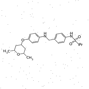 CC1CC(Oc2ccc(NCc3ccc(NS(=O)(=O)C(C)C)cc3)cc2)CC(C)O1